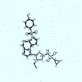 CC[C@@H]1C[C@H](NS(=O)(=O)C2CC2)CN1c1cnc2cnc3c(ccn3S(=O)(=O)c3ccc(C)cc3)n12